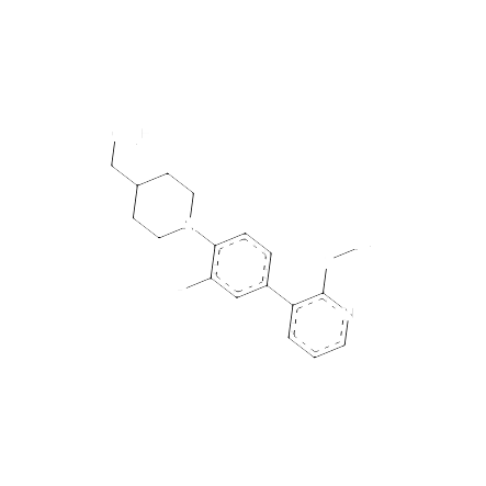 CC(C)Sc1ncccc1-c1ccc(N2CCC(CC(=O)O)CC2)c(F)c1